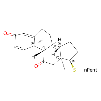 CCCCCS[C@@H]1CC[C@H]2[C@@H]3CCC4=CC(=O)C=C[C@]4(C)[C@H]3C(=O)C[C@]12C